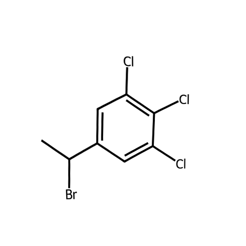 CC(Br)c1cc(Cl)c(Cl)c(Cl)c1